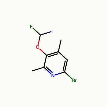 Cc1cc(Br)nc(C)c1OC(F)I